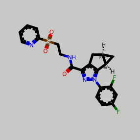 O=C(NCCS(=O)(=O)c1ccccn1)c1nn(-c2ccc(F)cc2F)c2c1C[C@H]1C[C@@H]21